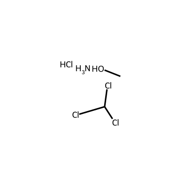 CO.Cl.ClC(Cl)Cl.N